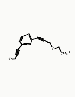 [O]CC#Cc1cccc(C#CCOCC(=O)O)c1